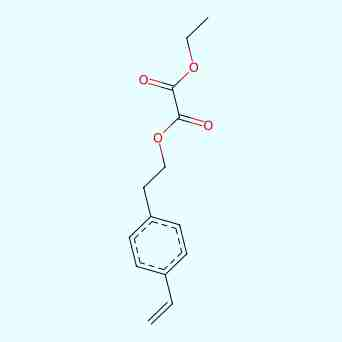 C=Cc1ccc(CCOC(=O)C(=O)OCC)cc1